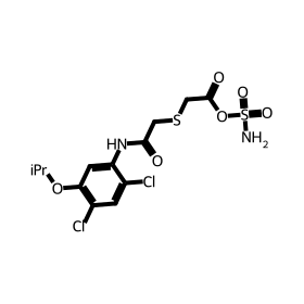 CC(C)Oc1cc(NC(=O)CSCC(=O)OS(N)(=O)=O)c(Cl)cc1Cl